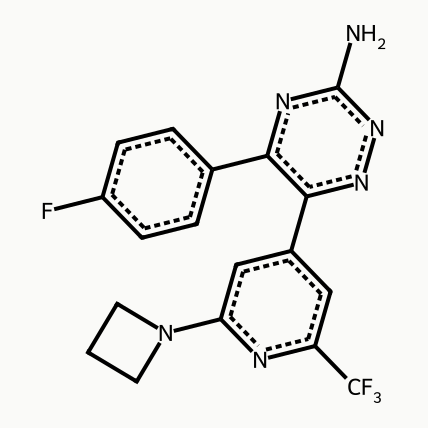 Nc1nnc(-c2cc(N3CCC3)nc(C(F)(F)F)c2)c(-c2ccc(F)cc2)n1